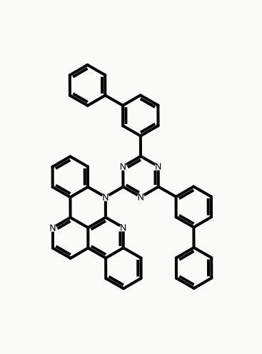 c1ccc(-c2cccc(-c3nc(-c4cccc(-c5ccccc5)c4)nc(N4c5ccccc5-c5nccc6c5c4nc4ccccc46)n3)c2)cc1